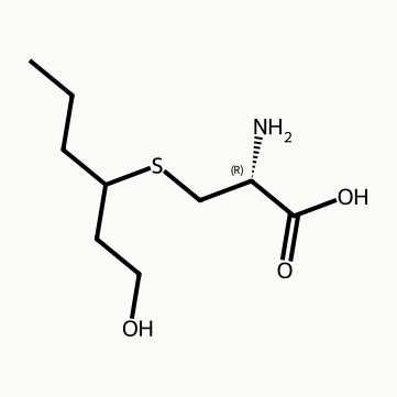 CCCC(CCO)SC[C@H](N)C(=O)O